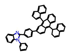 C1=Cc2ccccc2C(c2c3ccccc3c(-c3cccc4ccccc34)c3cc(-c4ccc(-c5nc6ccccc6n5-c5ccccc5)cc4)ccc23)C1